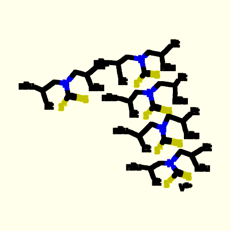 CCCCC(CC)CN(CC(CC)CCCC)C(=S)[S-].CCCCC(CC)CN(CC(CC)CCCC)C(=S)[S-].CCCCC(CC)CN(CC(CC)CCCC)C(=S)[S-].CCCCC(CC)CN(CC(CC)CCCC)C(=S)[S-].CCCCC(CC)CN(CC(CC)CCCC)C(=S)[S-].[V+5]